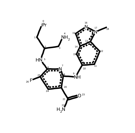 CC(C)CC(CN)Nc1nc(Nc2ccc3c(cnn3C)c2)c(C(N)=O)cc1F